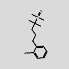 CC(C)(CCCc1ccccc1O)[SH](C)(C)=O